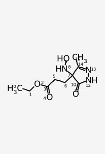 CCOC(=O)CCC1(NO)C(=O)NN=C1C